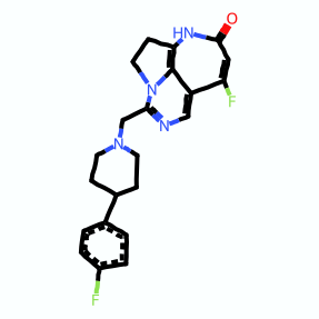 O=C1C=C(F)C2=CN=C(CN3CCC(c4ccc(F)cc4)CC3)N3CCC(=C23)N1